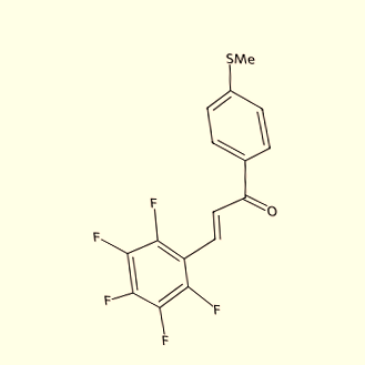 CSc1ccc(C(=O)C=Cc2c(F)c(F)c(F)c(F)c2F)cc1